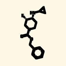 O=C(OCc1ccccc1)N1CC[C@@H](NC2CC2)[C@@H](F)C1